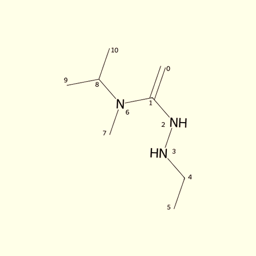 C=C(NNCC)N(C)C(C)C